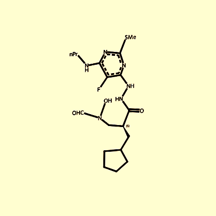 CCCNc1nc(SC)nc(NNC(=O)[C@@H](CC2CCCC2)CN(O)C=O)c1F